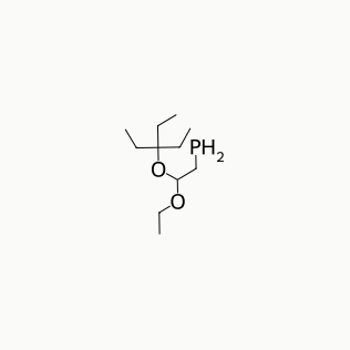 CCOC(CP)OC(CC)(CC)CC